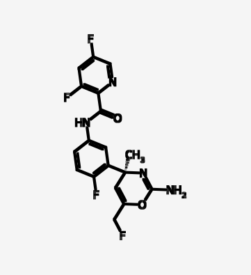 C[C@@]1(c2cc(NC(=O)c3ncc(F)cc3F)ccc2F)C=C(CF)OC(N)=N1